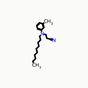 CCCCCCCCCCN(CCC#N)c1cccc(C)c1